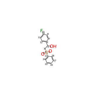 O=S(=O)(CC(O)c1ccc(F)cc1)c1ccccc1